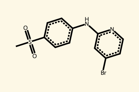 CS(=O)(=O)c1ccc(Nc2cc(Br)ccn2)cc1